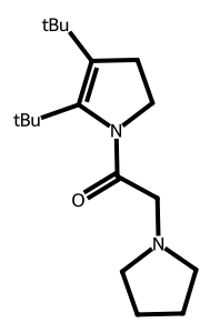 CC(C)(C)C1=C(C(C)(C)C)N(C(=O)CN2CCCC2)CC1